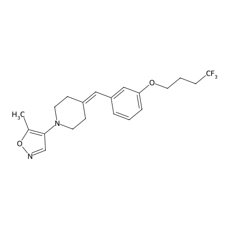 Cc1oncc1N1CCC(=Cc2cccc(OCCCC(F)(F)F)c2)CC1